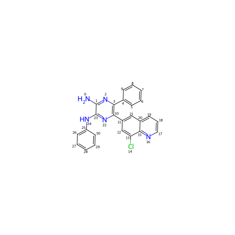 Nc1nc(-c2ccccc2)c(-c2cc(Cl)c3ncccc3c2)nc1Nc1ccccc1